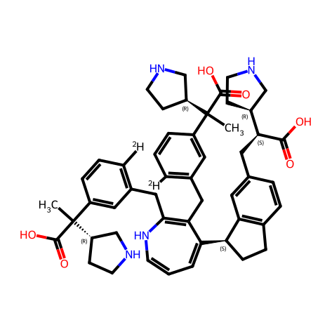 [2H]c1ccc(C(C)(C(=O)O)[C@H]2CCNC2)cc1CC1=C(Cc2cc(C(C)(C(=O)O)[C@H]3CCNC3)ccc2[2H])C([C@@H]2CCc3ccc(C[C@H](C(=O)O)[C@H]4CCNC4)cc32)=CC=CN1